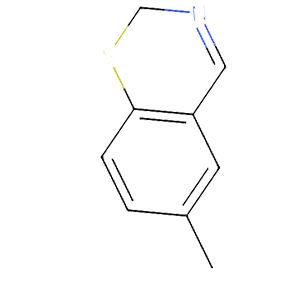 Cc1ccc2c(c1)C=NCS2